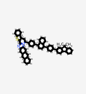 CC1(C)c2ccccc2-c2ccc(-c3ccc(-c4ccc(-c5ccc(-c6cc7c8ccccc8sc7c7nc8cc9cc%10ccccc%10cc9cc8n67)cc5)c5ccccc45)cc3)cc21